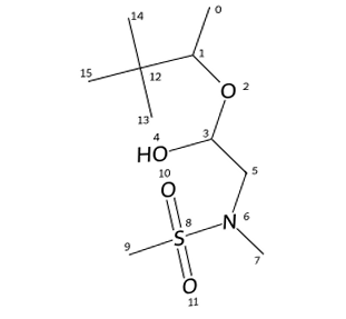 CC(OC(O)CN(C)S(C)(=O)=O)C(C)(C)C